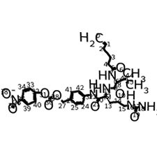 C=CCCCC(=O)N[C@H](C(=O)N[C@@H](CCCNC(N)=O)C(=O)Nc1ccc(COC(=O)Oc2ccc([N+](=O)[O-])cc2)cc1)C(C)C